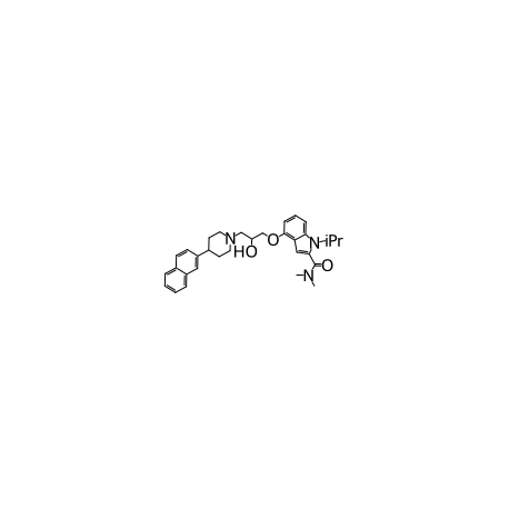 CC(C)n1c(C(=O)N(C)C)cc2c(OCC(O)CN3CCC(c4ccc5ccccc5c4)CC3)cccc21